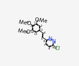 COc1cc(C=Cc2ccc(Cl)nn2)cc(OC)c1OC